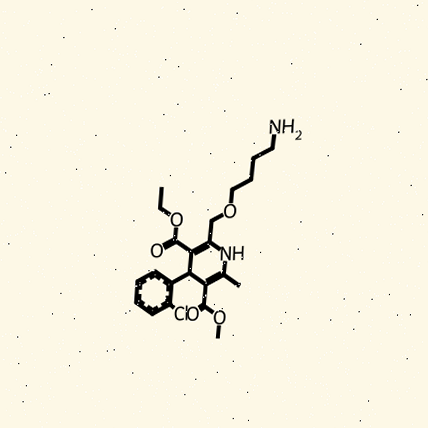 CCOC(=O)C1=C(COCCCCN)NC(C)=C(C(=O)OC)C1c1ccccc1Cl